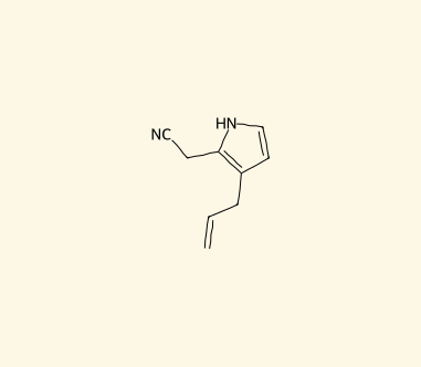 C=CCc1cc[nH]c1CC#N